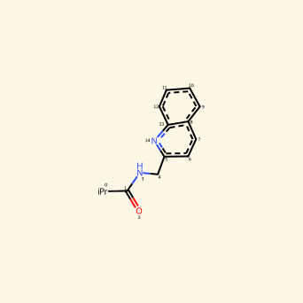 CC(C)C(=O)NCc1ccc2ccccc2n1